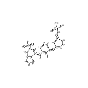 Cc1c(Nc2nc(S(C)(=O)=O)nc3c2[N]C=C3)cccc1Oc1cccc(OCC(F)(F)F)c1